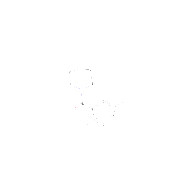 Cc1ccc(C)c(C(=O)N2CCCCC2)c1